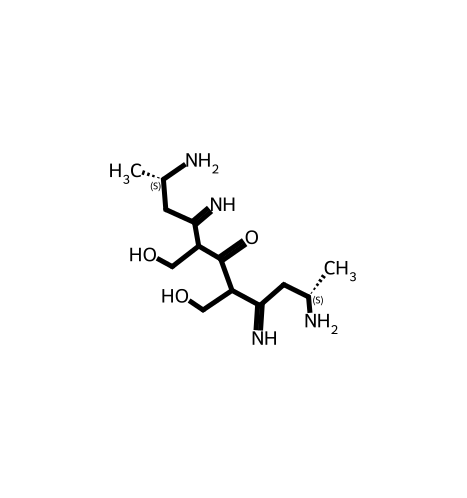 C[C@H](N)CC(=N)C(CO)C(=O)C(CO)C(=N)C[C@H](C)N